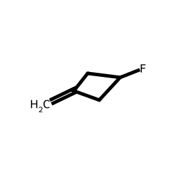 C=C1CC(F)C1